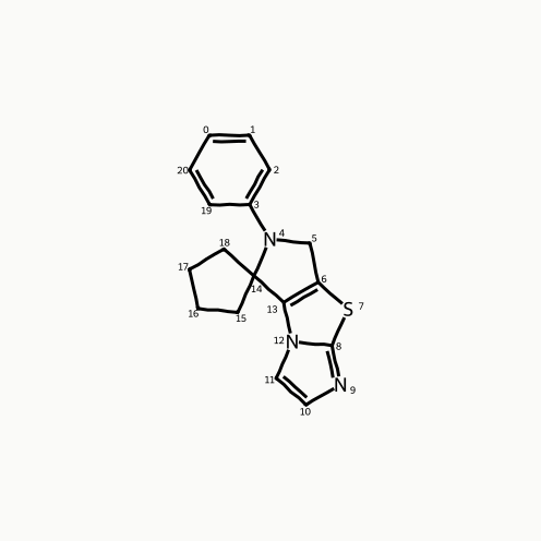 c1ccc(N2Cc3sc4nccn4c3C23CCCC3)cc1